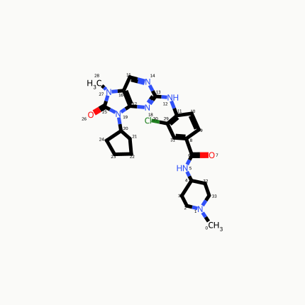 CN1CCC(NC(=O)c2ccc(Nc3ncc4c(n3)n(C3CCCC3)c(=O)n4C)c(Cl)c2)CC1